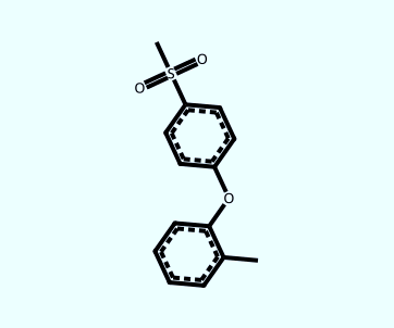 Cc1ccccc1Oc1ccc(S(C)(=O)=O)cc1